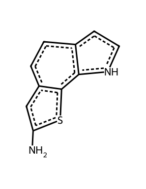 Nc1cc2ccc3cc[nH]c3c2s1